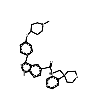 CN1CCC(Oc2ccc(-c3n[nH]c4ccc(C(=O)NCC5(c6ccncc6)CCOCC5)cc34)cc2)CC1